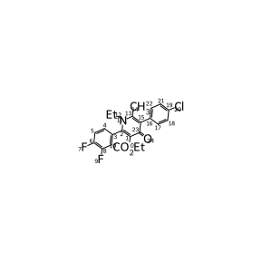 CCOC(=O)c1c(-c2ccc(F)c(F)c2)n(CC)c(C)c(-c2ccc(Cl)cc2)c1=O